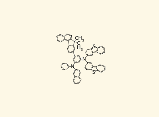 CC1(C)c2cc(-c3cc(N(c4ccccc4)c4ccc5ccccc5c4)cc(N(c4ccc5sc6ccccc6c5c4)c4ccc5sc6ccccc6c5c4)c3)ccc2-c2c1ccc1ccccc21